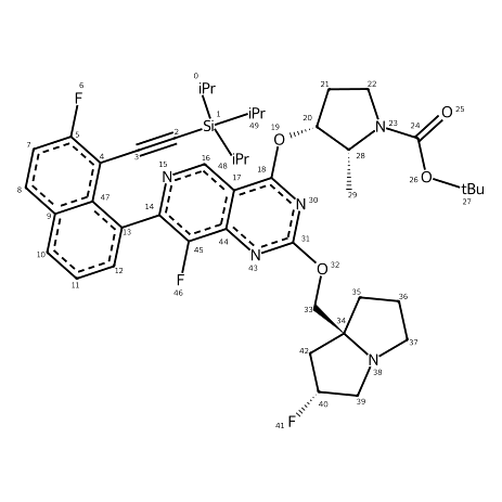 CC(C)[Si](C#Cc1c(F)ccc2cccc(-c3ncc4c(O[C@@H]5CCN(C(=O)OC(C)(C)C)[C@@H]5C)nc(OC[C@@]56CCCN5C[C@H](F)C6)nc4c3F)c12)(C(C)C)C(C)C